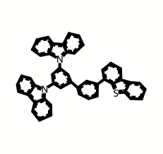 c1cc(-c2cc(-n3c4ccccc4c4ccccc43)cc(-n3c4ccccc4c4ccccc43)c2)cc(-c2cccc3c2sc2ccccc23)c1